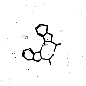 CC(C)C1CC2CC=CC=C2[CH]1[Hf+2][CH]1C2=CC=CCC2CC1C(C)C.[Cl-].[Cl-]